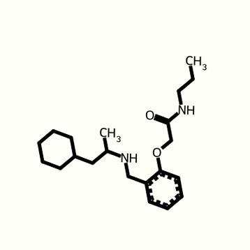 CCCNC(=O)COc1ccccc1CNC(C)CC1CCCCC1